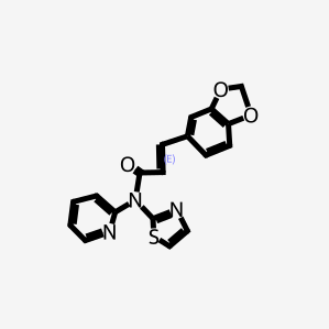 O=C(/C=C/c1ccc2c(c1)OCO2)N(c1ccccn1)c1nccs1